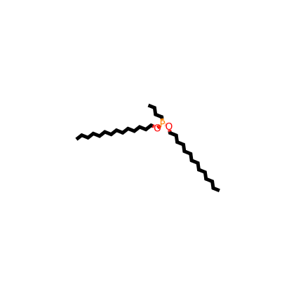 CCCCCCCCCCCCCCOP(CCCC)OCCCCCCCCCCCCCC